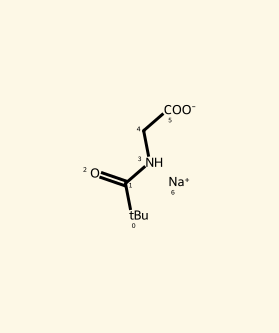 CC(C)(C)C(=O)NCC(=O)[O-].[Na+]